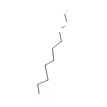 CCCCCCCCCCCOOO